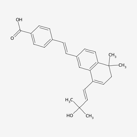 CC(C)(O)C=CC1=CCC(C)(C)c2ccc(C=Cc3ccc(C(=O)O)cc3)cc21